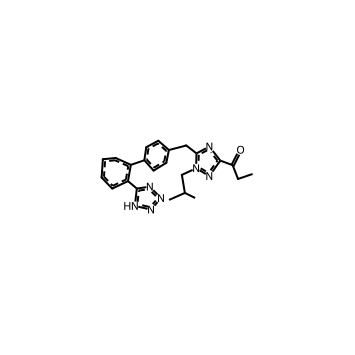 CCC(=O)c1nc(Cc2ccc(-c3ccccc3-c3nnn[nH]3)cc2)n(CC(C)C)n1